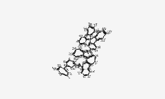 c1ccc(-c2cccc(-n3c4ccccc4c4ccc5c(c6ccccc6n5-c5ccc6c(c5)C(c5ccccc5)(c5ccccc5)c5ccccc5-6)c43)c2)cc1